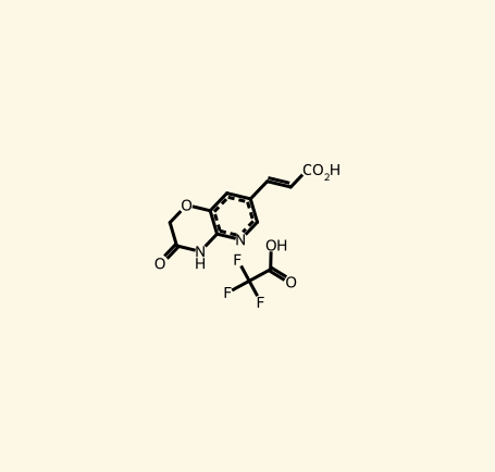 O=C(O)C(F)(F)F.O=C(O)C=Cc1cnc2c(c1)OCC(=O)N2